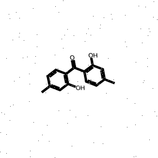 Cc1ccc(C(=O)c2ccc(C)cc2O)c(O)c1